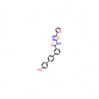 COc1ccc(-c2ccc(-c3cccc(C(=O)Nc4nnc(-c5ccco5)o4)c3)cc2)cc1